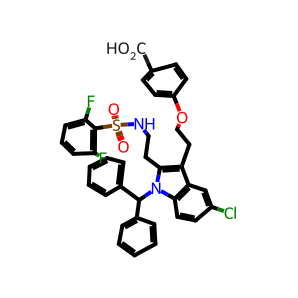 O=C(O)c1ccc(OCCc2c(CCNS(=O)(=O)c3c(F)cccc3F)n(C(c3ccccc3)c3ccccc3)c3ccc(Cl)cc23)cc1